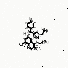 CC(C)(C)CNc1c(C#N)cnc2c(Cl)cc(N[C@@H](c3ccc(F)cc3)c3cn(CC(F)F)nn3)cc12